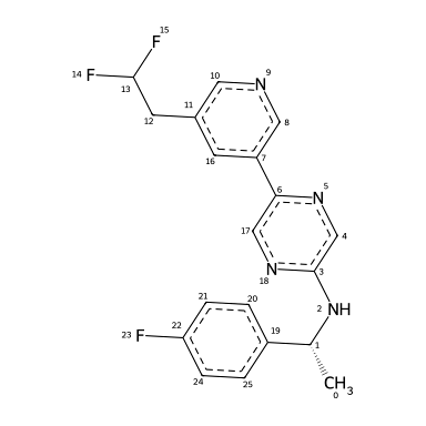 C[C@@H](Nc1cnc(-c2cncc(CC(F)F)c2)cn1)c1ccc(F)cc1